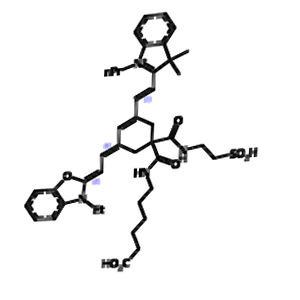 CCC[N+]1=C(/C=C/C2=CC(=C/C=C3\Oc4ccccc4N3CC)/CC(C(=O)NCCCCCC(=O)O)(C(=O)NCCS(=O)(=O)O)C2)C(C)(C)c2ccccc21